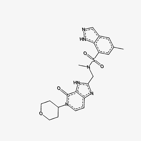 Cc1cc(S(=O)(=O)N(C)Cc2nc3ccn(C4CCOCC4)c(=O)c3[nH]2)c2[nH]ncc2c1